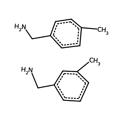 Cc1ccc(CN)cc1.Cc1cccc(CN)c1